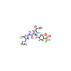 CC(=O)OCCc1nc(NC(=O)c2cc(C(=O)C(C)C)cn2Cc2ccc(C3([SH](=O)=O)CC3)cc2)sc1Cl